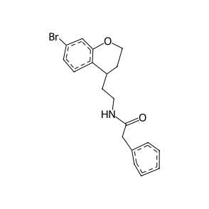 O=C(Cc1ccccc1)NCCC1CCOc2cc(Br)ccc21